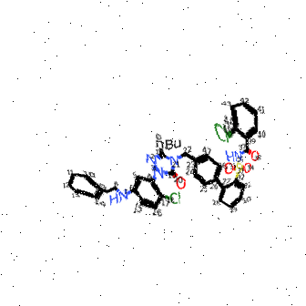 CCCCc1nn(-c2cc(NCc3ccccc3)ccc2Cl)c(=O)n1Cc1ccc(-c2ccccc2S(=O)(=O)NC(=O)c2ccccc2Cl)cc1